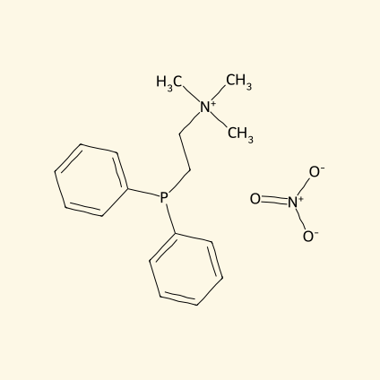 C[N+](C)(C)CCP(c1ccccc1)c1ccccc1.O=[N+]([O-])[O-]